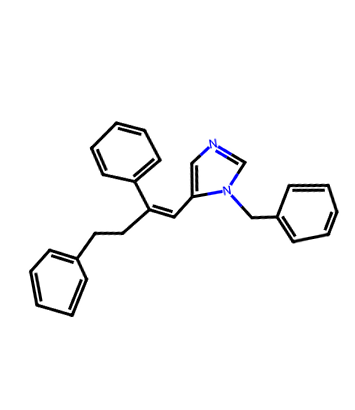 C(=C(\CCc1ccccc1)c1ccccc1)/c1cncn1Cc1ccccc1